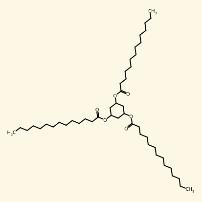 CCCCCCCCCCCCCC(=O)OC1CC(OC(=O)CCCCCCCCCCCCC)CC(OC(=O)CCCCCCCCCCCCC)C1